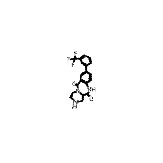 O=C1Nc2ccc(-c3cccc(C(F)(F)F)c3)cc2C(=O)N2CCNCC12